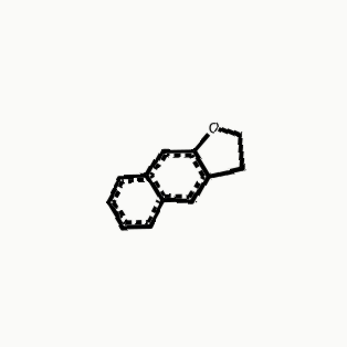 [c]1c2c(cc3ccccc13)OCC2